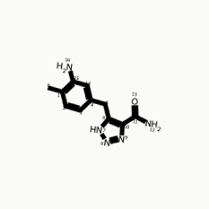 Cc1ccc(Cc2[nH]nnc2C(N)=O)cc1N